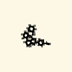 C#Cc1ccc(-c2nc(NCc3ccccn3)c3c(-c4ccccc4)cccc3n2)cn1